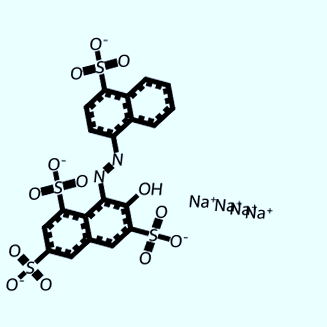 O=S(=O)([O-])c1cc(S(=O)(=O)[O-])c2c(N=Nc3ccc(S(=O)(=O)[O-])c4ccccc34)c(O)c(S(=O)(=O)[O-])cc2c1.[Na+].[Na+].[Na+].[Na+]